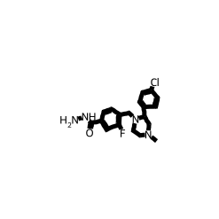 CN1CCN(Cc2ccc(C(=O)NN)cc2F)C(c2ccc(Cl)cc2)C1